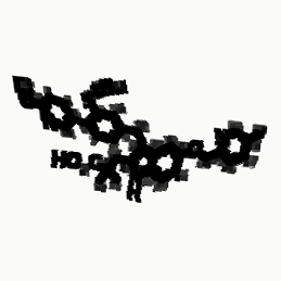 CCOc1ccc(-c2ccc(Cc3c(CC(C)(C)C(=O)O)[nH]c4ccc(OCc5ccc(C)cn5)cc34)cc2SC(C)(C)C)cn1